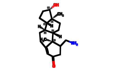 C[C@]12CC[C@H]3[C@@H](CCC4=CC(=O)CC(CN)[C@@]43C)[C@@H]1CC[C@@H]2O